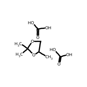 CC1COC(C)(C)O1.O=C(O)O.O=C(O)O